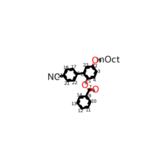 CCCCCCCCOc1ccc(OC(=O)c2ccccc2)c(-c2ccc(C#N)cc2)c1